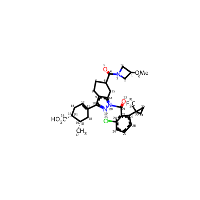 COC1CN(C(=O)C2CCc3c(C4=CC[C@@H](C(=O)O)[C@@H](C)C4)nn(C(=O)c4c(Cl)cccc4C4(C(F)(F)F)CC4)c3C2)C1